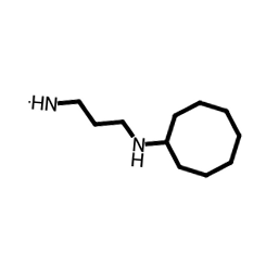 [NH]CCCNC1CCCCCCC1